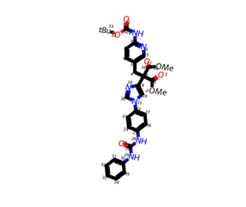 COC(=O)C(Cc1ccc(NC(=O)OC(C)(C)C)nc1)(C(=O)OC)c1cn(-c2ccc(NC(=O)Nc3ccccc3)cc2)cn1